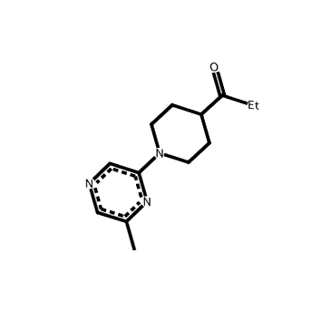 CCC(=O)C1CCN(c2cncc(C)n2)CC1